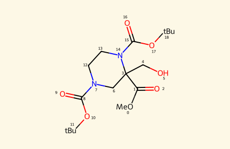 COC(=O)C1(CO)CN(C(=O)OC(C)(C)C)CCN1C(=O)OC(C)(C)C